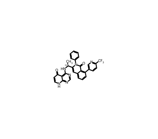 C[C@H](Nc1ncnc2[nH]ccc(=O)c12)c1cc2cccc(-c3ccc(C(F)(F)F)nc3)c2c(=O)n1-c1ccccc1